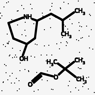 CC(C)(C)OC=O.CC(C)CC1CC(O)CCN1